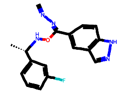 C=N/N=C(\ON[C@@H](C)c1cccc(F)c1)c1ccc2[nH]ncc2c1